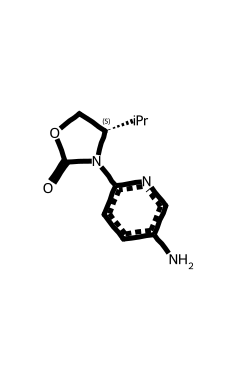 CC(C)[C@H]1COC(=O)N1c1ccc(N)cn1